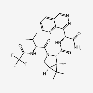 CC(C)[C@H](NC(=O)C(F)(F)F)C(=O)N1C[C@H]2[C@@H]([C@H]1C(=O)N[C@H](C(N)=O)c1nncc3cccnc13)C2(C)C